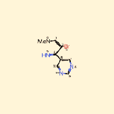 CN/C=C(/Br)C(=N)c1cncnc1